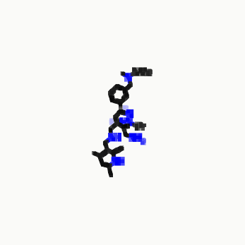 C=C1NC(C)=CC(C)=C1CNC/C(=C/C(=N\NC(C)C)c1cccc(CN(C)NC)c1)C(=C)CN